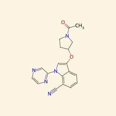 CC(=O)N1CCC(Oc2cn(-c3cnccn3)c3c(C#N)cccc23)C1